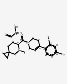 CN1CC2(CC2)C[C@H](C(=O)NO)[C@H]1C(=O)N1CC=C(c2ccc(F)cc2F)CC1